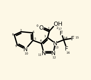 O=C(O)c1c(-c2ccccn2)nnn1C(F)(F)F